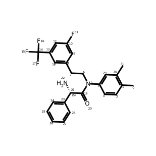 Cc1ccc(N(CCc2cc(F)cc(C(F)(F)F)c2)C(=O)[C@@H](N)c2ccccc2)cc1C